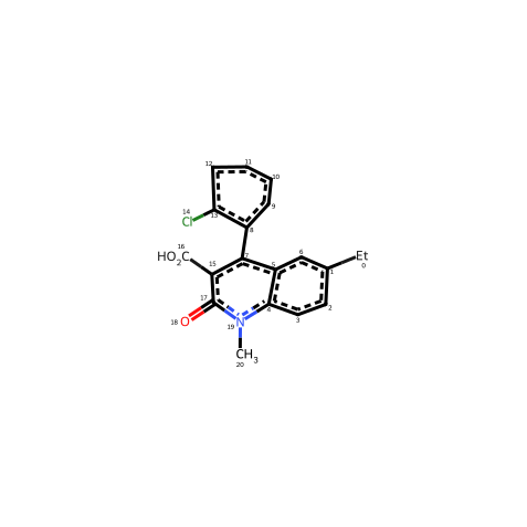 CCc1ccc2c(c1)c(-c1ccccc1Cl)c(C(=O)O)c(=O)n2C